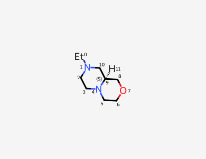 CCN1CCN2CCOC[C@@H]2C1